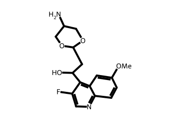 COc1ccc2ncc(F)c(C(O)CC3OCC(N)CO3)c2c1